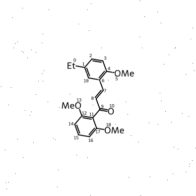 CCc1ccc(OC)c(/C=C/C(=O)c2c(OC)cccc2OC)c1